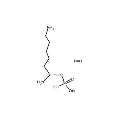 NCCCCCC(N)OP(=O)(O)O.[NaH]